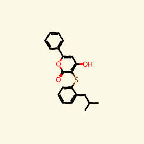 CC(C)Cc1ccccc1Sc1c(O)cc(-c2ccccc2)oc1=O